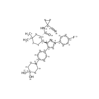 CC1(C)CC[C@H](c2nn(-c3ccc(F)cc3)cc2-c2ccc(N3CCS(O)(O)CC3)cc2)[C@@H](C(=O)NC2(C#N)CC2)C1